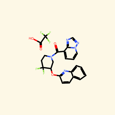 O=C(O)C(F)(F)F.O=C(c1cccn2ncnc12)N1CCC(F)(F)C(Oc2ccc3ccccc3n2)C1